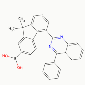 CC1(C)c2cc(B(O)O)ccc2-c2c(C3=NC4=CC=CCC4C(c4ccccc4)=N3)cccc21